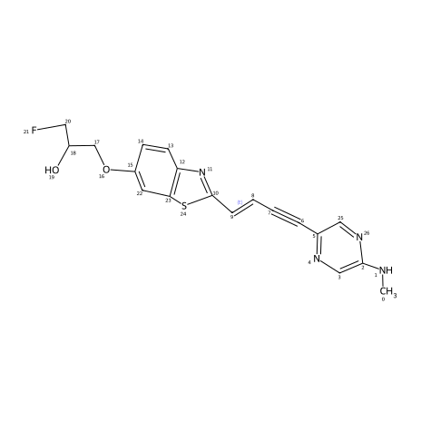 CNc1cnc(C#C/C=C/c2nc3ccc(OCC(O)CF)cc3s2)cn1